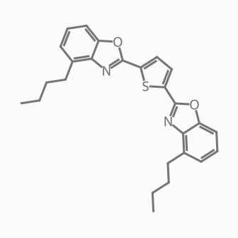 CCCCc1cccc2oc(-c3ccc(-c4nc5c(CCCC)cccc5o4)s3)nc12